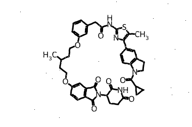 Cc1sc(NC(=O)Cc2cccc(OCCC(C)CCOc3ccc4c(c3)C(=O)N(C3CCC(=O)NC3=O)C4=O)c2)nc1-c1ccc2c(c1)CCN2C(=O)C1CC1